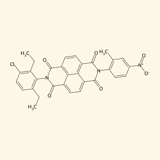 CCc1ccc(Cl)c(CC)c1N1C(=O)c2ccc3c4c(ccc(c24)C1=O)C(=O)N(c1ccc([N+](=O)[O-])cc1C)C3=O